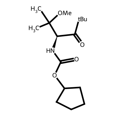 COC(C)(C)[C@H](NC(=O)OC1CCCC1)C(=O)C(C)(C)C